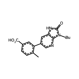 CCC(C)n1c(=O)[nH]c2cc(-c3cc(C(=O)O)ccc3C)cnc21